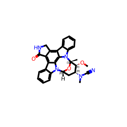 CO[C@@H]1[C@H](N(C)C#N)C[C@H]2O[C@]1(C)n1c3ccccc3c3c4c(c5c6ccccc6n2c5c31)C(=O)NC4